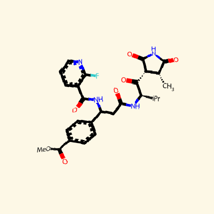 COC(=O)c1ccc(C(CC(=O)N[C@@H](C(=O)[C@@H]2C(=O)NC(=O)[C@@H]2C)C(C)C)NC(=O)c2cccnc2F)cc1